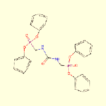 O=C(NCP(=O)(Oc1ccccc1)Oc1ccccc1)NCP(=O)(Oc1ccccc1)Oc1ccccc1